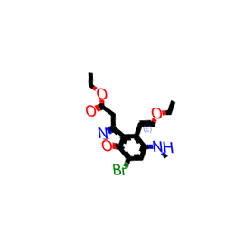 CCO/C=C/c1c(NC)cc(Br)c2onc(CC(=O)OCC)c12